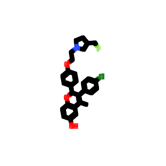 CC1=C(c2ccc(Cl)cc2)C(c2ccc(OCCN3CCC(CF)C3)cc2)Oc2ccc(O)cc21